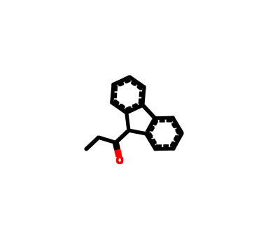 CCC(=O)C1c2ccccc2-c2ccccc21